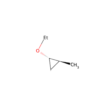 CCO[C@H]1[CH][C@@H]1C